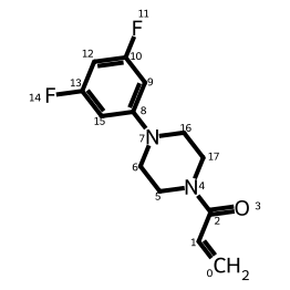 C=CC(=O)N1CCN(c2cc(F)cc(F)c2)CC1